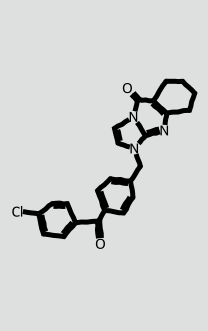 O=C(c1ccc(Cl)cc1)c1ccc(Cn2ccn3c(=O)c4c(nc23)CCCC4)cc1